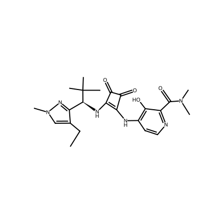 CCc1cn(C)nc1[C@H](Nc1c(Nc2ccnc(C(=O)N(C)C)c2O)c(=O)c1=O)C(C)(C)C